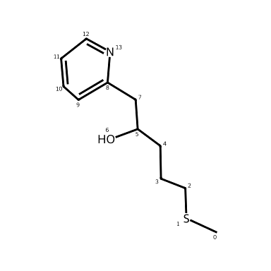 CSCCCC(O)Cc1ccccn1